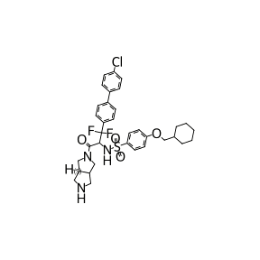 O=C(C(NS(=O)(=O)c1ccc(OCC2CCCCC2)cc1)C(F)(F)c1ccc(-c2ccc(Cl)cc2)cc1)N1CC2CNC[C@H]2C1